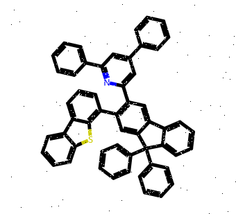 c1ccc(-c2cc(-c3ccccc3)nc(-c3cc4c(cc3-c3cccc5c3sc3ccccc35)C(c3ccccc3)(c3ccccc3)c3ccccc3-4)c2)cc1